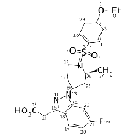 CCOc1ccc(S(=O)(=O)N2CCC(n3nc(CC(=O)O)c4ccc(F)cc43)C[C@@H]2C)cc1